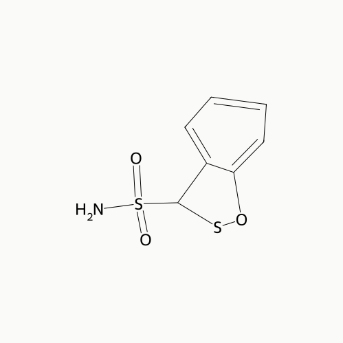 NS(=O)(=O)C1SOc2ccccc21